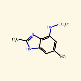 CCOC(=O)Nc1cc(N=O)cc2[nH]c(C)nc12